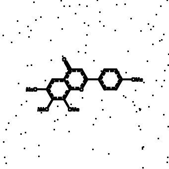 COc1ccc(-c2cc(=O)c3cc(OC)c(OC)c(OC)c3o2)cc1